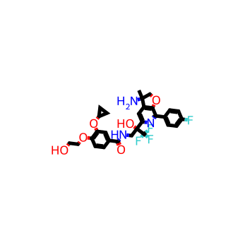 CC1(N)COc2c1cc(C(O)(CNC(=O)c1ccc(OCCO)c(OC3CC3)c1)C(F)(F)F)nc2-c1ccc(F)cc1